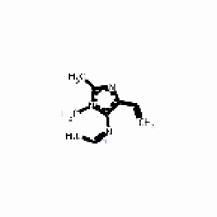 C=Cc1nc(C)n(C)c1/N=C\C